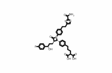 NC(=O)c1nc(CCc2ccc(N3C(=O)[C@H](CC[C@H](O)c4ccc(F)cc4)[C@H]3c3ccc(CCCC(C(=O)O)C(=O)O)cc3)cc2)cs1